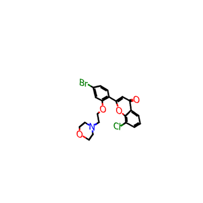 O=c1cc(-c2ccc(Br)cc2OCCN2CCOCC2)oc2c(Cl)cccc12